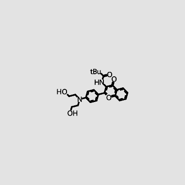 CC(C)(C)C(=O)Nc1c(-c2ccc(N(CCO)CCO)cc2)oc2ccccc2c1=O